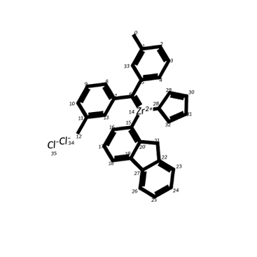 Cc1cccc([C](c2cccc(C)c2)=[Zr+2]([c]2cccc3c2Cc2ccccc2-3)[CH]2C=CC=C2)c1.[Cl-].[Cl-]